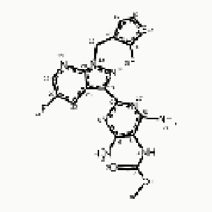 COC(=O)Nc1c(N)nc(-c2nn(Cc3ccsc3F)c3ncc(F)cc23)nc1N